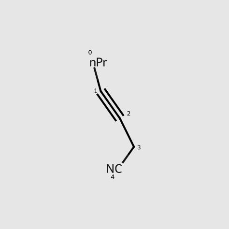 [CH2]CCC#CCC#N